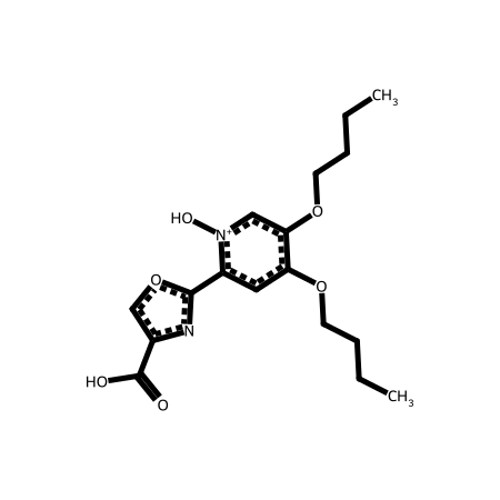 CCCCOc1cc(-c2nc(C(=O)O)co2)[n+](O)cc1OCCCC